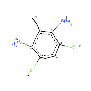 Cc1c(N)c(F)cc(F)c1N